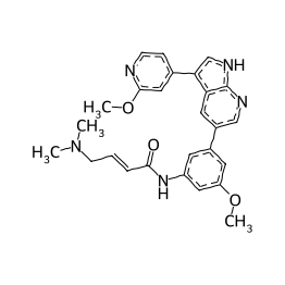 COc1cc(NC(=O)C=CCN(C)C)cc(-c2cnc3[nH]cc(-c4ccnc(OC)c4)c3c2)c1